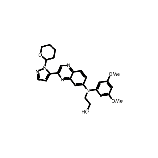 COc1cc(OC)cc(N(CCO)c2ccc3ncc(-c4ccnn4C4CCCCO4)nc3c2)c1